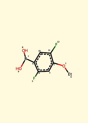 CCOc1cc(F)c(B(O)O)cc1F